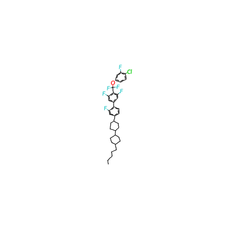 CCCCCC1CCC(C2CCC(c3ccc(-c4cc(F)c(C(F)(F)Oc5ccc(Cl)c(F)c5)c(F)c4)c(F)c3)CC2)CC1